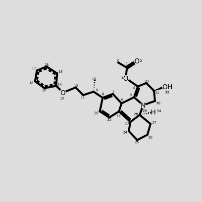 CC(=O)OC1=C2C3C=C([C@@H](C)CCOc4ccccc4)C=CC3=C3CCCC[C@@H]3N2C[C@H](O)C1